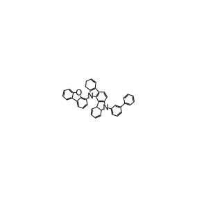 C1=CC2c3c(ccc4c5c(n(-c6cccc7c6oc6ccccc67)c34)CCC=C5)N(c3cccc(-c4ccccc4)c3)C2C=C1